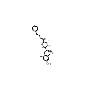 Cc1cc(O)cc(C)c1CC(N)C(=O)N[C@@H](C)C(=O)NCCCc1ccccc1